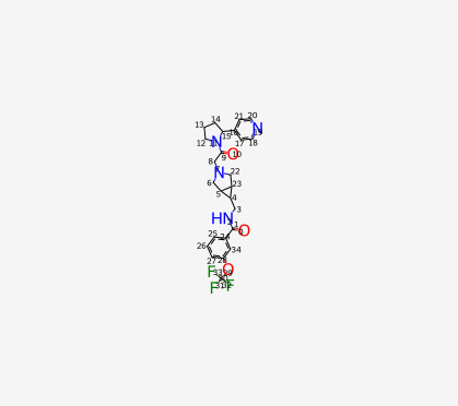 O=C(NCC1C2CN(CC(=O)N3CCCC3c3ccncc3)CC12)c1cccc(OC(F)(F)F)c1